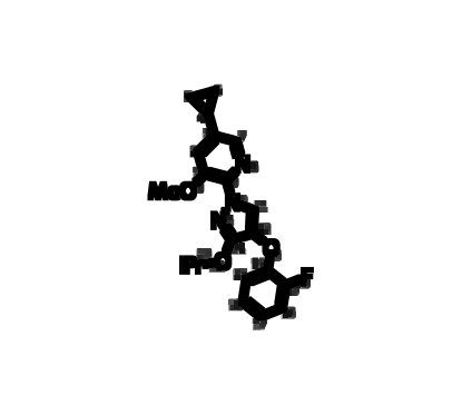 COc1cc(C2CC2)cnc1-n1cc(Oc2ccccc2F)c(OC(C)C)n1